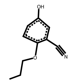 CCCOc1ccc(O)cc1C#N